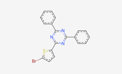 Brc1ccc(-c2nc(-c3ccccc3)nc(-c3ccccc3)n2)s1